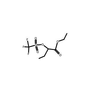 CCOC(=O)C(CC)OS(=O)(=O)C(F)(F)F